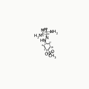 CS(=O)(=O)c1ccc(NN=C2C(N)=NN=C2N)cc1